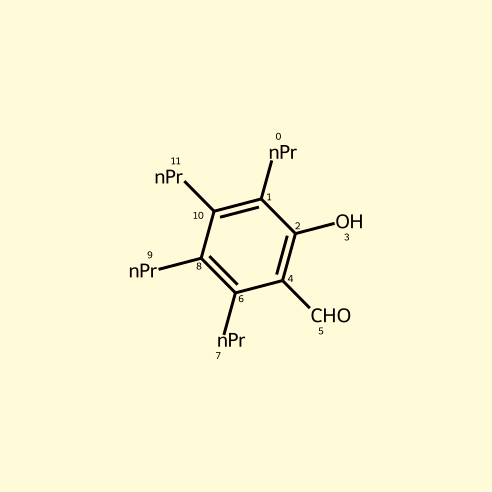 CCCc1c(O)c(C=O)c(CCC)c(CCC)c1CCC